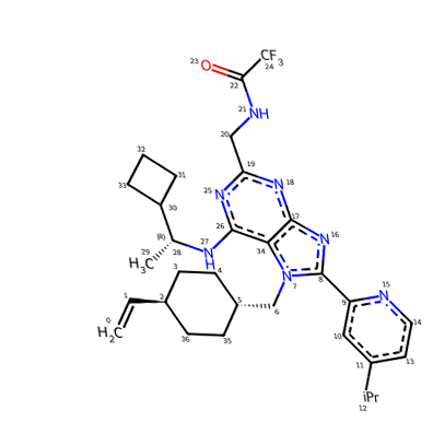 C=C[C@H]1CC[C@H](Cn2c(-c3cc(C(C)C)ccn3)nc3nc(CNC(=O)C(F)(F)F)nc(N[C@H](C)C4CCC4)c32)CC1